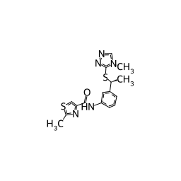 Cc1nc(C(=O)Nc2cccc([C@H](C)Sc3nncn3C)c2)cs1